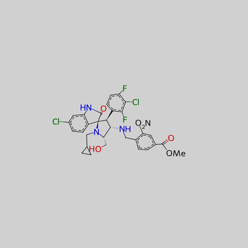 COC(=O)c1ccc(CN[C@@H]2[C@H](CO)N(CC3CC3)[C@@]3(C(=O)Nc4cc(Cl)ccc43)[C@H]2c2ccc(F)c(Cl)c2F)c([N+](=O)[O-])c1